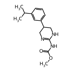 COC(=O)NC1=NCC(c2cccc(C(C)C)c2)CN1